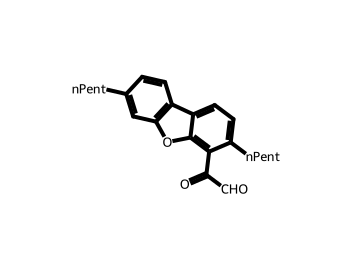 CCCCCc1ccc2c(c1)oc1c(C(=O)C=O)c(CCCCC)ccc12